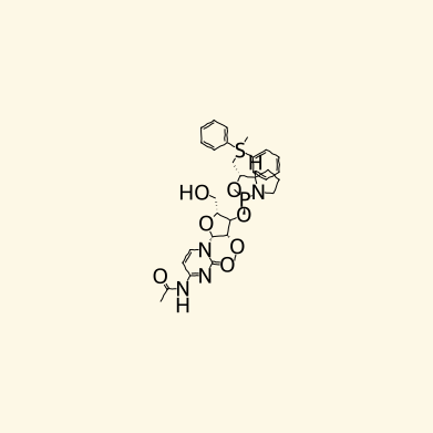 CO[C@H]1C(O[P@@]2O[C@H](CS(C)(c3ccccc3)c3ccccc3)[C@@H]3CCCN32)[C@@H](CO)O[C@H]1n1ccc(NC(C)=O)nc1=O